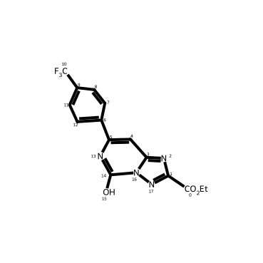 CCOC(=O)c1nc2cc(-c3ccc(C(F)(F)F)cc3)nc(O)n2n1